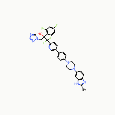 CC(C)c1nc2ccc(N3CCN(c4ccc(-c5ccc(C(F)(F)[C@](O)(Cn6cnnn6)c6ccc(F)cc6F)nc5)cc4)CC3)cc2[nH]1